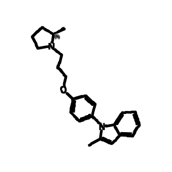 Cc1cc2ccccc2n1-c1ccc(OCCCN2CCC[C@H]2C)cc1